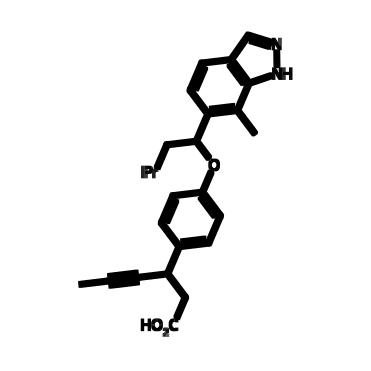 CC#CC(CC(=O)O)c1ccc(OC(CC(C)C)c2ccc3cn[nH]c3c2C)cc1